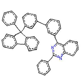 c1ccc(-c2nc(-c3cccc(-c4cccc(C5(c6ccccc6)c6ccccc6-c6ccccc65)c4)c3)c3ccccc3n2)cc1